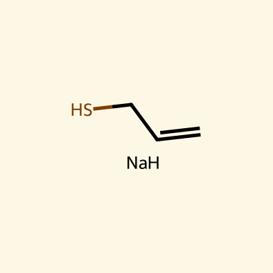 C=CCS.[NaH]